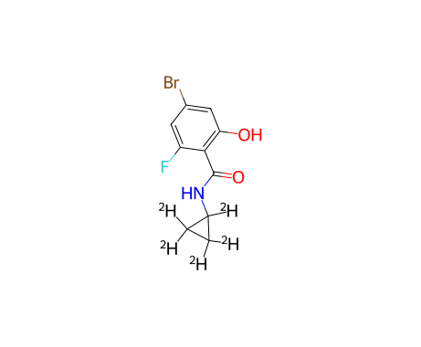 [2H]C1([2H])C([2H])([2H])C1([2H])NC(=O)c1c(O)cc(Br)cc1F